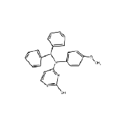 COc1ccc(N(c2ccnc(O)n2)C(c2ccccc2)c2ccccc2)cc1